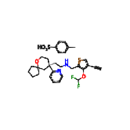 C#Cc1csc(CNCC[C@@]2(c3ccccn3)CCOC3(CCCC3)C2)c1OC(F)F.Cc1ccc(S(=O)(=O)O)cc1